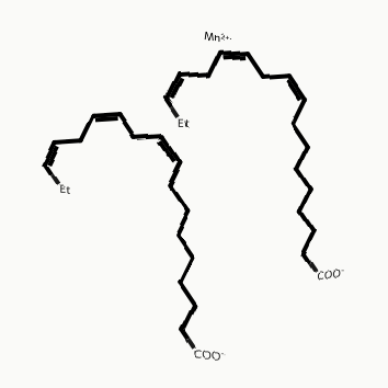 CC/C=C\C/C=C\C/C=C\CCCCCCCC(=O)[O-].CC/C=C\C/C=C\C/C=C\CCCCCCCC(=O)[O-].[Mn+2]